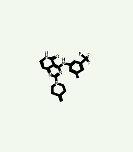 C=C1CCN(c2nc(Nc3cc(C)cc(C(F)(F)F)c3)c3c(=O)[nH]ccc3n2)CC1